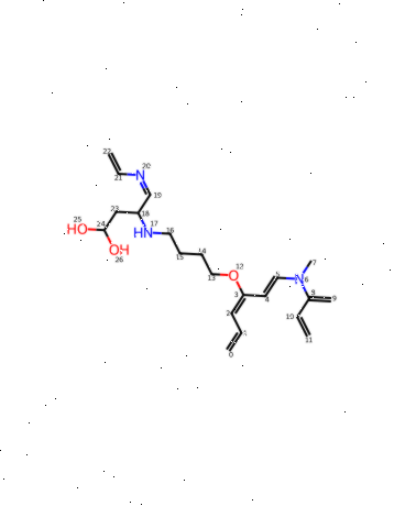 C=C/C=C(\C=C\N(C)C(=C)C=C)OCCCCNC(/C=N\C=C)CC(O)O